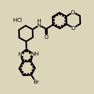 Cl.O=C(NC1CCCC(c2nc3ccc(Br)cc3[nH]2)C1)c1ccc2c(c1)OCCO2